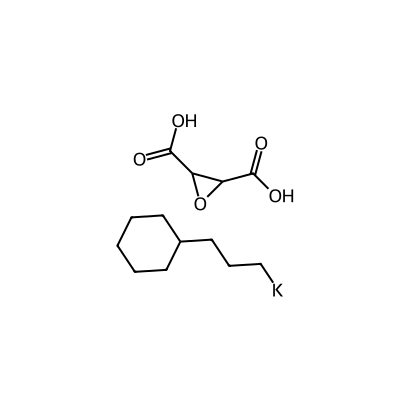 O=C(O)C1OC1C(=O)O.[K][CH2]CCC1CCCCC1